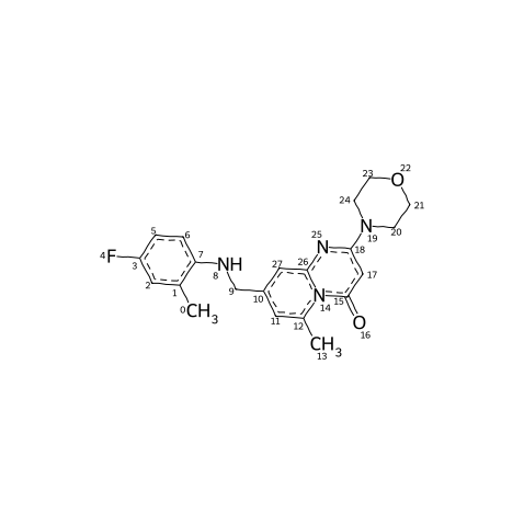 Cc1cc(F)ccc1NCc1cc(C)n2c(=O)cc(N3CCOCC3)nc2c1